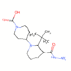 CC(C)(C)C1C(C(=O)NN)CCCN1C1CCN(C(=O)O)CC1